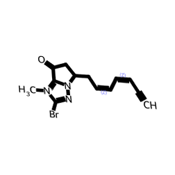 C#C/C=C\C=C/CC1CC(=O)c2n1nc(Br)[n+]2C